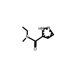 CCN(C)C(=O)c1ccn[nH]1